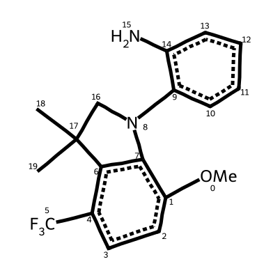 COc1ccc(C(F)(F)F)c2c1N(c1ccccc1N)CC2(C)C